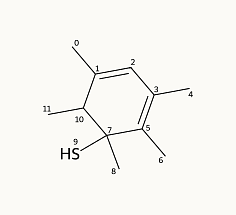 CC1=CC(C)=C(C)C(C)(S)C1C